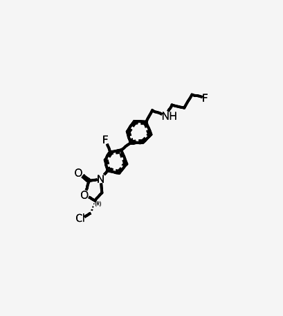 O=C1O[C@@H](CCl)CN1c1ccc(-c2ccc(CNCCCF)cc2)c(F)c1